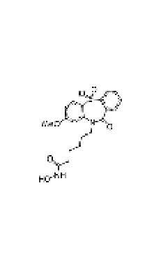 COc1ccc2c(c1)N(CCCCCC(=O)NO)C(=O)c1ccccc1S2(=O)=O